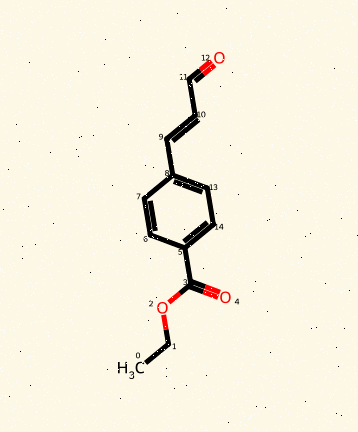 CCOC(=O)c1ccc(C=CC=O)cc1